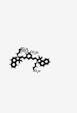 CCOC(=O)C1(C(=O)OCC)CC(/C=C/C2=[N+](CCCS(=O)(=O)O)c3ccc4ccccc4c3C2(C)C)=CC(=C/C=C2/N(CCCS(=O)(=O)O)c3ccc4ccccc4c3C2(C)C)/C1